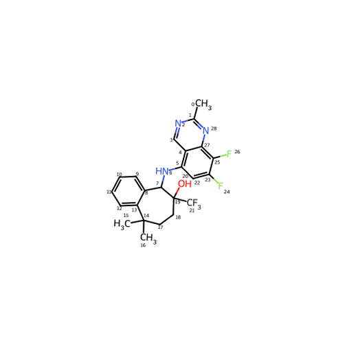 Cc1ncc2c(NC3c4ccccc4C(C)(C)CCC3(O)C(F)(F)F)cc(F)c(F)c2n1